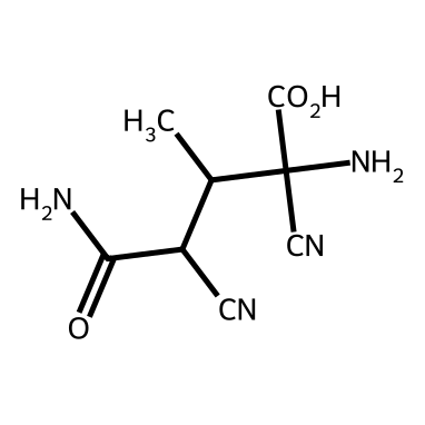 CC(C(C#N)C(N)=O)C(N)(C#N)C(=O)O